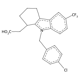 O=C(O)CC1CCCc2c1n(Cc1ccc(Cl)cc1)c1ccc(C(F)(F)F)cc21